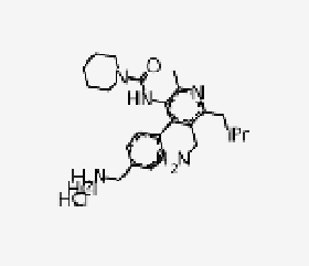 Cc1nc(CC(C)C)c(CN)c(-c2ccc(CN)cc2)c1NC(=O)N1CCCCC1.Cl.Cl